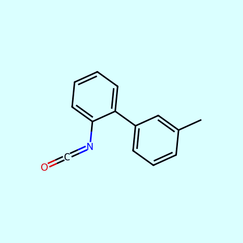 Cc1cccc(-c2ccccc2N=C=O)c1